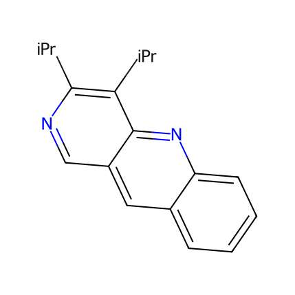 CC(C)c1ncc2cc3ccccc3nc2c1C(C)C